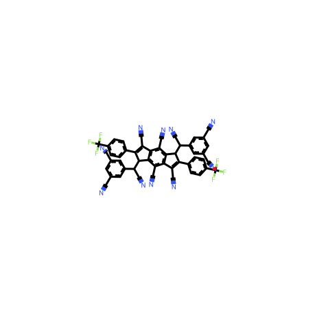 N#CC1=C(c2ccc(C(F)(F)F)cc2)C(C(C#N)c2cc(C#N)cc(C#N)c2)c2c(C#N)c3c(c(C#N)c21)C(C(C#N)c1cc(C#N)cc(C#N)c1)C(c1ccc(C(F)(F)F)cc1)=C3C#N